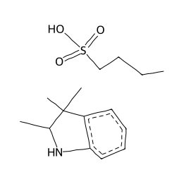 CC1Nc2ccccc2C1(C)C.CCCCS(=O)(=O)O